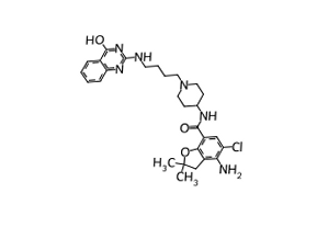 CC1(C)Cc2c(N)c(Cl)cc(C(=O)NC3CCN(CCCCNc4nc(O)c5ccccc5n4)CC3)c2O1